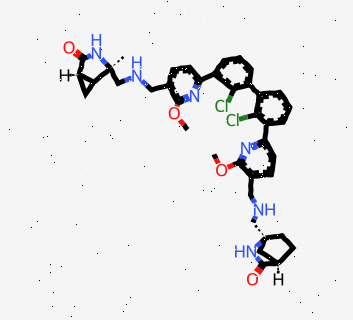 COc1nc(-c2cccc(-c3cccc(-c4ccc(CNC[C@]5(C)NC(=O)[C@@H]6CC65)c(OC)n4)c3Cl)c2Cl)ccc1CNC[C@]12CC[C@H](C1)C(=O)N2